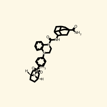 CS(=O)(=O)N1[C@@H]2CC[C@@H]1CN(c1ccc(N3CCN(C(=O)NC4C5CC6CC4CC(C(N)=O)(C6)C5)c4ccccc43)cc1)C2